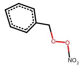 O=[N+]([O-])OOCc1ccccc1